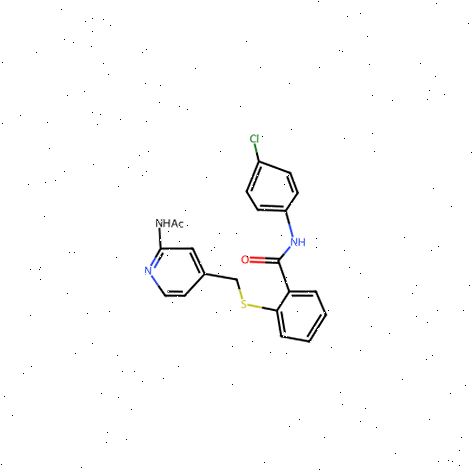 CC(=O)Nc1cc(CSc2ccccc2C(=O)Nc2ccc(Cl)cc2)ccn1